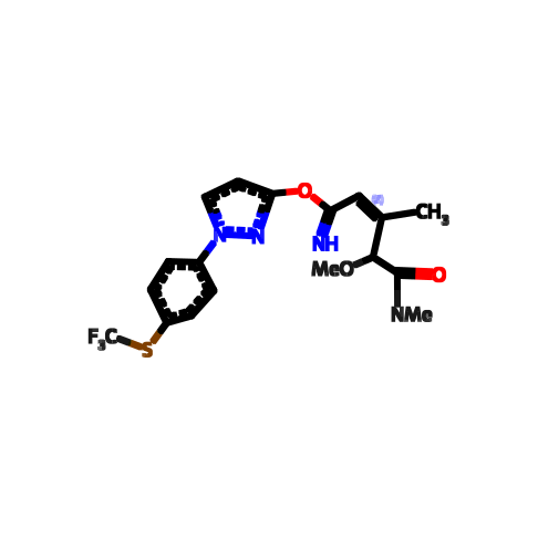 CNC(=O)C(OC)/C(C)=C\C(=N)Oc1ccn(-c2ccc(SC(F)(F)F)cc2)n1